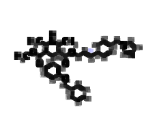 COC(=O)C1=C(C)NC(C)=C(C(=O)OC/C=C/c2ccc(Cn3ccnc3)cc2)C1c1cccc(OCc2ccccc2)c1